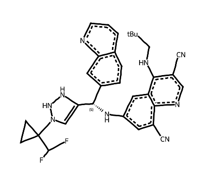 CC(C)(C)CNc1c(C#N)cnc2c(C#N)cc(N[C@H](C3=CN(C4(C(F)F)CC4)NN3)c3ccc4cccnc4c3)cc12